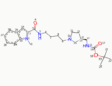 Cn1c(C(=O)NCCCCN2CC[C@@H](CNC(=O)OC(C)(C)C)C2)cc2ccccc21